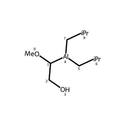 CO[CH](CO)[Al]([CH2]C(C)C)[CH2]C(C)C